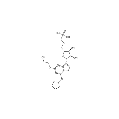 O=P(O)(O)COC[C@H]1O[C@@H](n2ccc3c(NC4CCCC4)nc(OCCO)nc32)[C@H](O)[C@@H]1O